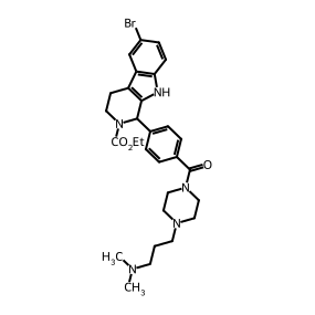 CCOC(=O)N1CCc2c([nH]c3ccc(Br)cc23)C1c1ccc(C(=O)N2CCN(CCCN(C)C)CC2)cc1